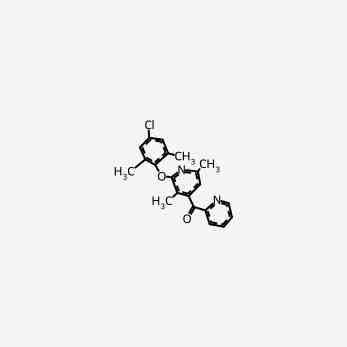 Cc1cc(C(=O)c2ccccn2)c(C)c(Oc2c(C)cc(Cl)cc2C)n1